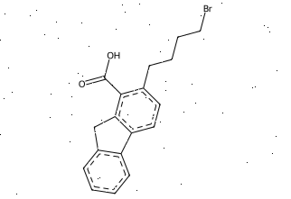 O=C(O)c1c(CCCCBr)ccc2c1Cc1ccccc1-2